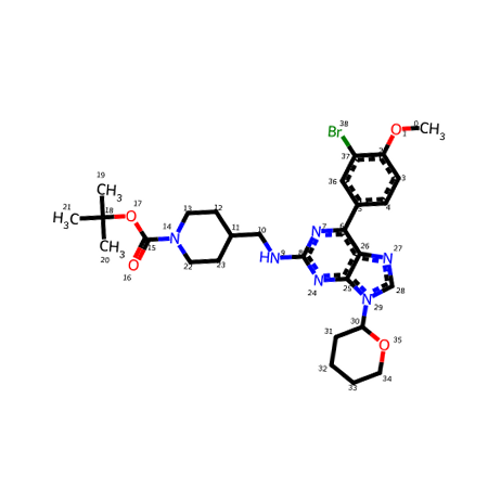 COc1ccc(-c2nc(NCC3CCN(C(=O)OC(C)(C)C)CC3)nc3c2ncn3C2CCCCO2)cc1Br